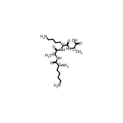 C[C@H](NC(=O)[C@H](CCCCN)NC(=O)[C@H](C)NC(=O)[C@@H](N)CCCCN)C(=O)O